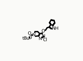 CC(C)(C)OC(=O)N1CCc2c(nc(Cl)nc2OCCc2c[nH]c3ccccc23)C1